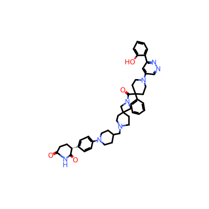 O=C1CC[C@H](c2ccc(N3CCC(CN4CCC5(CC4)CN(C(=O)C4(c6ccccc6)CCN(c6cnnc(-c7ccccc7O)c6)CC4)C5)CC3)cc2)C(=O)N1